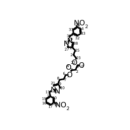 O=C(CC(=O)OCCCc1cnn(Cc2cccc([N+](=O)[O-])c2)c1)OCCCc1cnn(Cc2cccc([N+](=O)[O-])c2)c1